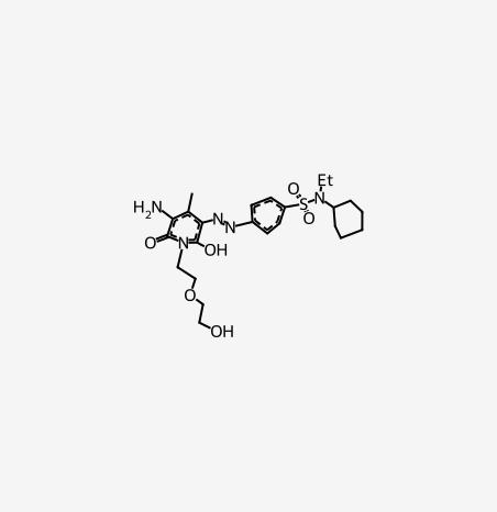 CCN(C1CCCCC1)S(=O)(=O)c1ccc(/N=N/c2c(C)c(N)c(=O)n(CCOCCO)c2O)cc1